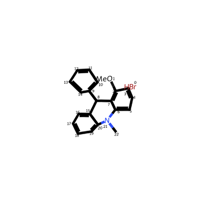 Br.COc1cccc2c1C(c1ccccc1)c1ccccc1N2C